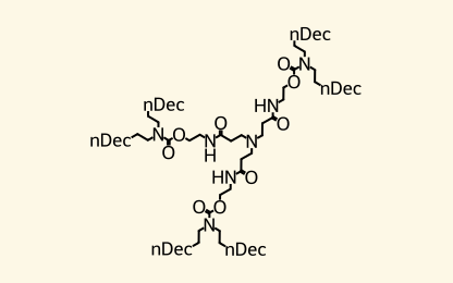 CCCCCCCCCCCCN(CCCCCCCCCCCC)C(=O)OCCNC(=O)CCN(CCC(=O)NCCOC(=O)N(CCCCCCCCCCCC)CCCCCCCCCCCC)CCC(=O)NCCOC(=O)N(CCCCCCCCCCCC)CCCCCCCCCCCC